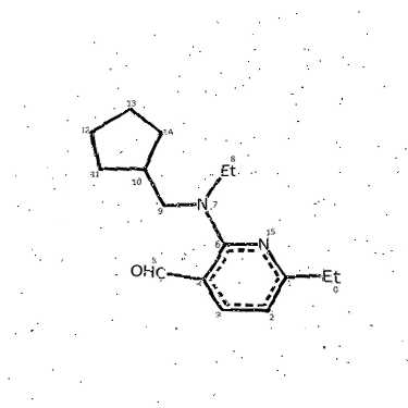 CCc1ccc(C=O)c(N(CC)CC2CCCC2)n1